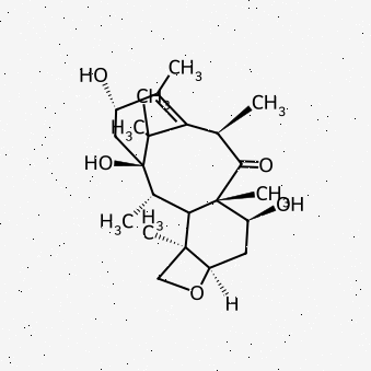 CC1=C2[C@@H](C)C(=O)[C@@]3(C)C([C@H](C)[C@](O)(C[C@@H]1O)C2(C)C)[C@]1(C)CO[C@@H]1C[C@@H]3O